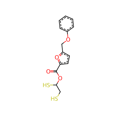 O=C(OC(S)CS)c1ccc(COc2ccccc2)o1